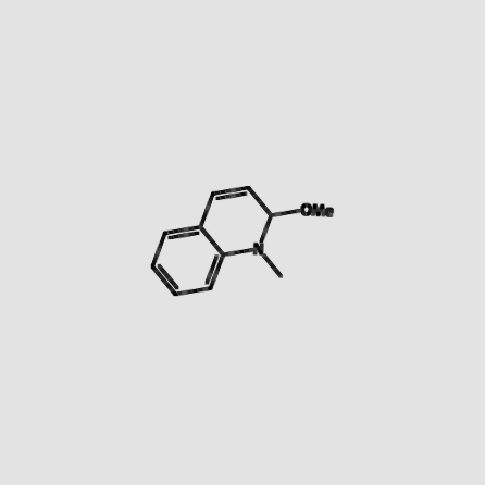 COC1C=Cc2ccccc2N1C